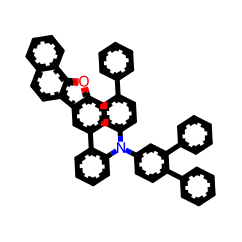 c1ccc(-c2ccc(N(c3ccc(-c4ccccc4)c(-c4ccccc4)c3)c3ccccc3-c3ccc4oc5c6ccccc6ccc5c4c3)cc2)cc1